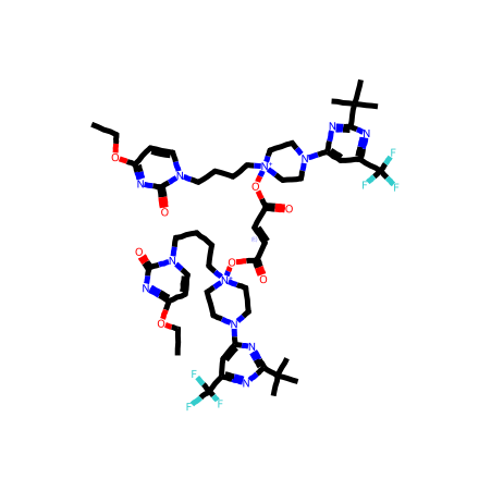 CCOc1ccn(CCCC[N+]2(OC(=O)/C=C/C(=O)O[N+]3(CCCCn4ccc(OCC)nc4=O)CCN(c4cc(C(F)(F)F)nc(C(C)(C)C)n4)CC3)CCN(c3cc(C(F)(F)F)nc(C(C)(C)C)n3)CC2)c(=O)n1